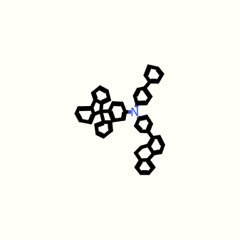 c1ccc(-c2ccc(N(c3ccc(-c4cccc5c4CCc4ccccc4-5)cc3)c3ccc(C4(c5ccccc5)c5ccccc5-c5ccccc54)cc3)cc2)cc1